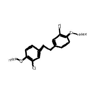 CCCCCCOc1ccc(CCc2ccc(OCCCCCC)c(Cl)c2)cc1Cl